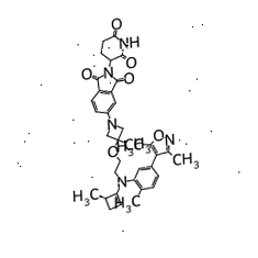 Cc1ccc(-c2c(C)noc2C)cc1N(CCOC1(C)CN(c2ccc3c(c2)C(=O)N(C2CCC(=O)NC2=O)C3=O)C1)C1=CC[C@H]1C